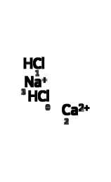 Cl.Cl.[Ca+2].[Na+]